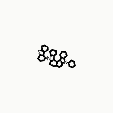 c1ccc(-n2c3ccccc3c3c4c(ccc32)ccc2c4c3ccccc3n2-c2cccc3sc4ccccc4c23)cc1